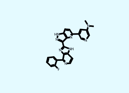 CN(C)c1cncc(-c2ccc3[nH]nc(-c4nc5c(-c6ccccc6F)nccc5[nH]4)c3n2)c1